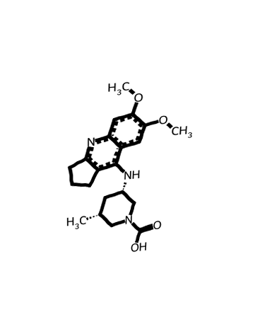 COc1cc2nc3c(c(N[C@H]4C[C@@H](C)CN(C(=O)O)C4)c2cc1OC)CCC3